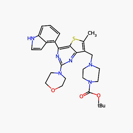 Cc1sc2c(-c3cccc4[nH]ccc34)nc(N3CCOCC3)nc2c1CN1CCN(C(=O)OC(C)(C)C)CC1